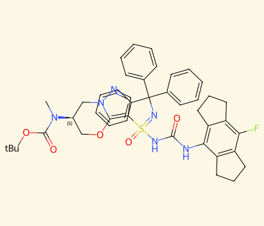 CN(C(=O)OC(C)(C)C)[C@@H]1COc2c(S(=O)(=NC(c3ccccc3)(c3ccccc3)c3ccccc3)NC(=O)Nc3c4c(c(F)c5c3CCC5)CCC4)cnn2C1